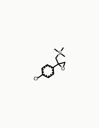 C[Si](C)(C)CC1(c2ccc(Cl)cc2)CO1